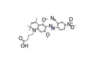 COc1cc2c(c(OC)c1/N=N/c1ccc([N+](=O)[O-])cc1C#N)C(C)=CC(C)(C)N2CCCC(=O)O